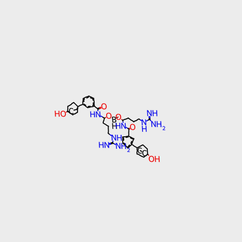 N=C(N)NCCCC(NC(=O)c1cccc(C23CCC(O)(CC2)CC3)c1)OBOC(CCCNC(=N)N)NC(=O)c1cccc(C23CCC(O)(CC2)CC3)c1